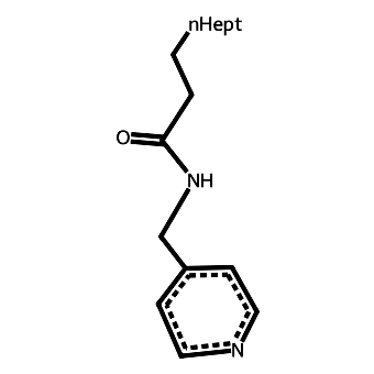 CCCCCCCCCC(=O)NCc1ccncc1